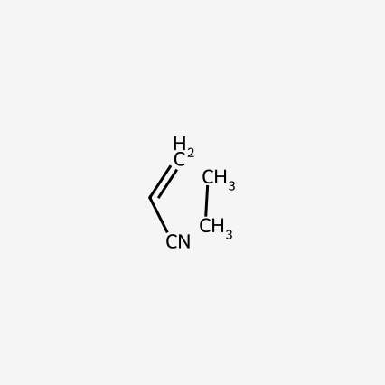 C=CC#N.CC